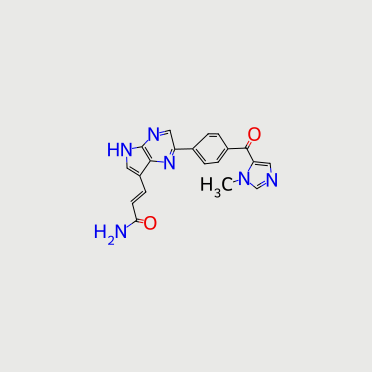 Cn1cncc1C(=O)c1ccc(-c2cnc3[nH]cc(C=CC(N)=O)c3n2)cc1